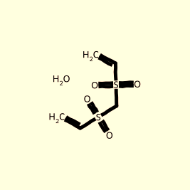 C=CS(=O)(=O)CS(=O)(=O)C=C.O